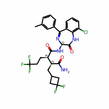 Cc1cccc(C2=N[C@H](NC(=O)[C@H](CCC(F)(F)F)[C@H](CC3CC(F)(F)C3)C(N)=O)C(=O)Nc3c(Cl)cccc32)c1